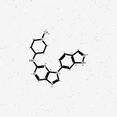 CN1CCC(Nc2ncc3ncn(-c4ccc5cn[nH]c5c4)c3n2)CC1